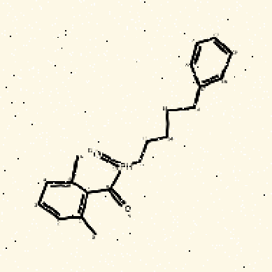 Cc1cccc(C)c1C(=O)[PH](=O)CCCCCc1ccccc1